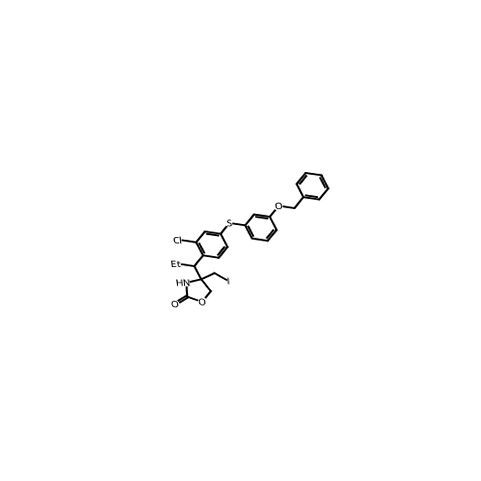 CCC(c1ccc(Sc2cccc(OCc3ccccc3)c2)cc1Cl)C1(CI)COC(=O)N1